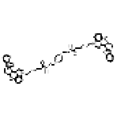 O=C(CCCCCN1C=CC2=C3c4sc5ccccc5[n+]4CCC3Oc3cccc1c32)NCCN1CCN(CCNC(=O)CCCCCN2C=CC3=C4c5sc6ccccc6[n+]5CCC4Oc4cccc2c43)CC1